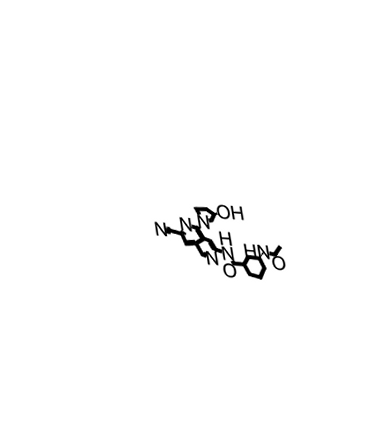 CC(=O)N[C@@H]1CCCC(C(=O)Nc2cc3c(N4CC[C@@H](O)C4)nc(C#N)cc3cn2)C1